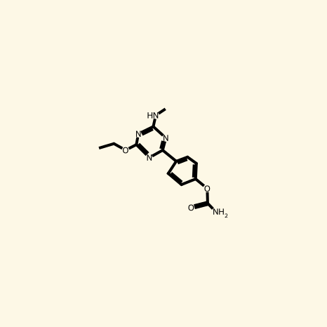 CCOc1nc(NC)nc(-c2ccc(OC(N)=O)cc2)n1